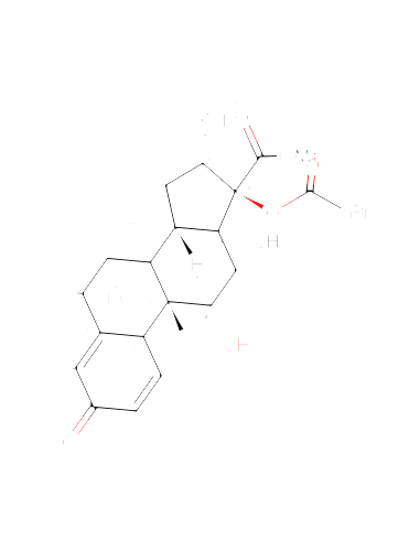 CCCC(=O)O[C@]1(C(=O)OC)[C@@H](C)C[C@H]2[C@@H]3CCC4=CC(=O)C=C[C@]4(C)[C@H]3[C@@H](O)C[C@@]21C